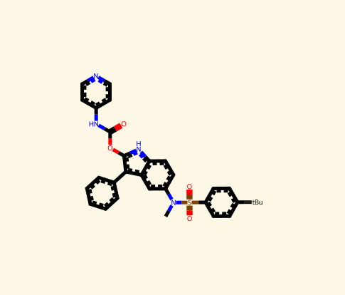 CN(c1ccc2[nH]c(OC(=O)Nc3ccncc3)c(-c3ccccc3)c2c1)S(=O)(=O)c1ccc(C(C)(C)C)cc1